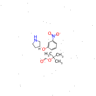 CC(C)(C)OC=O.O=[N+]([O-])c1cccc(O[C@@H]2CCNC2)c1